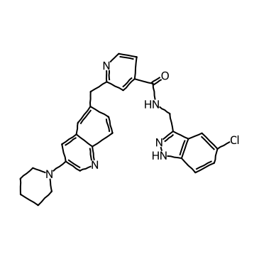 O=C(NCc1n[nH]c2ccc(Cl)cc12)c1ccnc(Cc2ccc3ncc(N4CCCCC4)cc3c2)c1